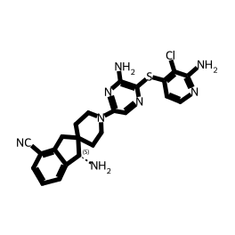 N#Cc1cccc2c1CC1(CCN(c3cnc(Sc4ccnc(N)c4Cl)c(N)n3)CC1)[C@@H]2N